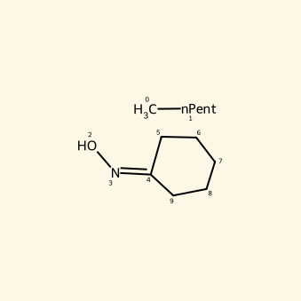 CCCCCC.ON=C1CCCCC1